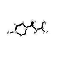 CCCC(CCC)NC(=O)N1CCN(C(C)C)CC1